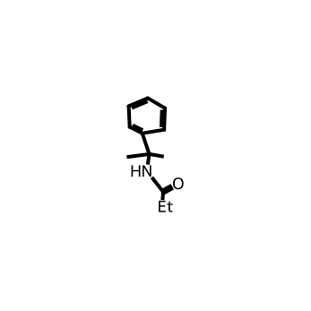 CCC(=O)NC(C)(C)c1ccccc1